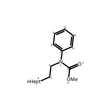 [CH2]OC(=O)N(CCCCCCCCC)c1ccccc1